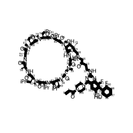 C=CC(=O)N1CCN(c2nc(NCCC(=O)CNCC[C@@H](C)[C@@H](O)[C@H]3C(=O)N[C@@H](CC)C(=O)N(C)CC(=O)N(C)[C@@H](CC(C)C)C(=O)N[C@@H](C(C)C)C(=O)N(C)[C@@H](CC(C)C)C(=O)N[C@@H](C)C(=O)N[C@H](C)C(=O)N(C)[C@@H](CC(C)C)C(=O)N(C)[C@@H](CC(C)C)C(=O)N(C)[C@@H](C(C)C)C(=O)N3C)nc3c(F)c(-c4c(O)cccc4F)c(Cl)cc23)CC1